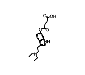 CCN(CC)CCc1c[nH]c2cc(OC(=O)CCC(=O)O)ccc12